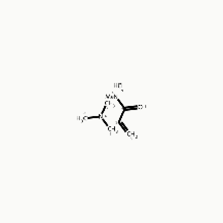 C=CC(=O)NC.CN(C)C.Cl